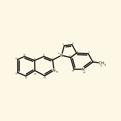 Cc1cc2ccn(-c3cc4ccccc4cn3)c2cn1